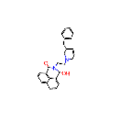 O=C1c2cccc3cccc(c23)C(O)N1CCN1CC=CC(Cc2ccccc2)C1